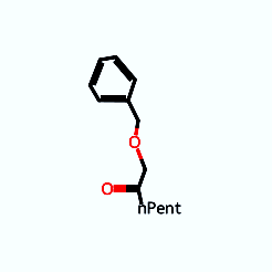 CCCCCC(=O)COCc1ccccc1